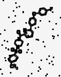 Cc1ccc(S(=O)(=O)N2CCN(C(=O)c3cccc(-c4ccc(Oc5ccc(F)cc5)cc4)n3)CC2)cc1